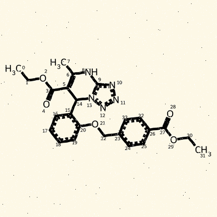 CCOC(=O)C1=C(C)Nc2nnnn2C1c1ccccc1OCc1ccc(C(=O)OCC)cc1